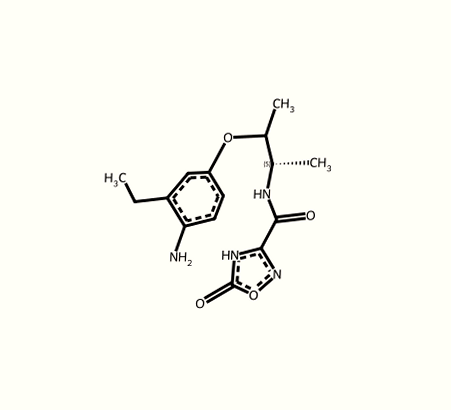 CCc1cc(OC(C)[C@H](C)NC(=O)c2noc(=O)[nH]2)ccc1N